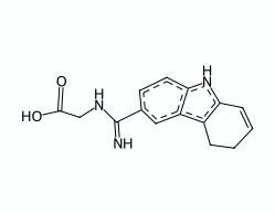 N=C(NCC(=O)O)c1ccc2[nH]c3c(c2c1)CCC=C3